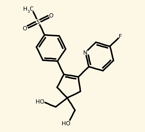 CS(=O)(=O)c1ccc(C2=C(c3ccc(F)cn3)CC(CO)(CO)C2)cc1